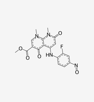 COC(=O)c1cn(C)c2c(c(Nc3ccc(N=O)cc3F)cc(=O)n2C)c1=O